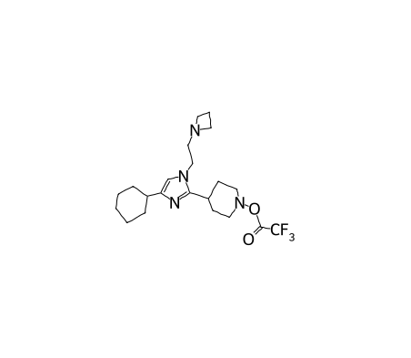 O=C(ON1CCC(c2nc(C3CCCCC3)cn2CCN2CCC2)CC1)C(F)(F)F